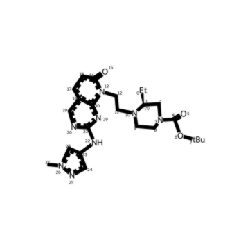 CC[C@H]1CN(C(=O)OC(C)(C)C)CCN1CCn1c(=O)ccc2cnc(Nc3cnn(C)c3)nc21